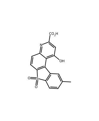 Cc1ccc2c(c1)-c1c(ccc3nc(C(=O)O)cc(O)c13)S2(=O)=O